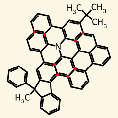 CC(C)(C)c1ccc(N(c2ccccc2-c2ccc3c(c2)C(C)(c2ccccc2)c2ccccc2-3)c2ccccc2-c2cccc3cccc(-c4ccccc4)c23)c(-c2ccccc2)c1